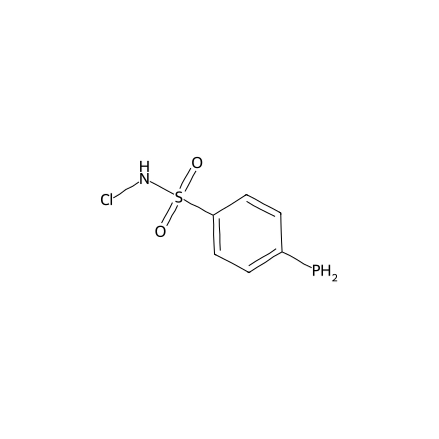 O=S(=O)(NCl)c1ccc(P)cc1